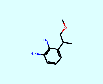 COCC(C)c1cccc(N)c1N